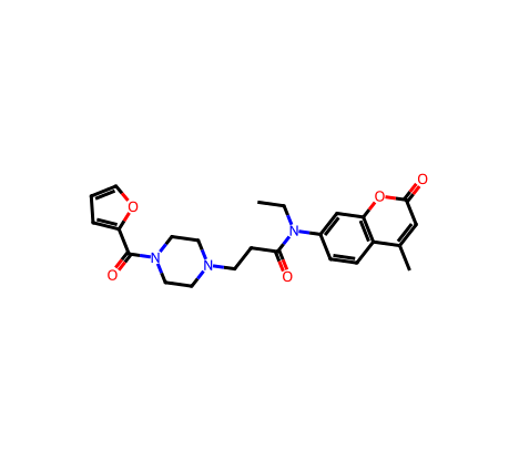 CCN(C(=O)CCN1CCN(C(=O)c2ccco2)CC1)c1ccc2c(C)cc(=O)oc2c1